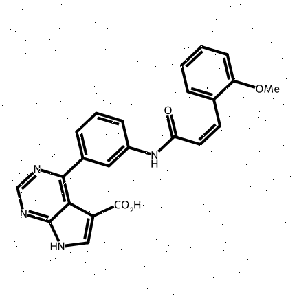 COc1ccccc1/C=C\C(=O)Nc1cccc(-c2ncnc3[nH]cc(C(=O)O)c23)c1